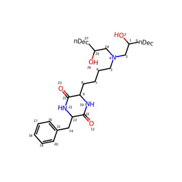 CCCCCCCCCCC(O)CN(CCCCC1NC(=O)C(Cc2ccccc2)NC1=O)CC(O)CCCCCCCCCC